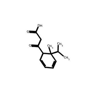 CC(C)C1(C)C=CC=CC1C(=O)CC(=O)O